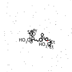 CCCN1C(=O)/C(=c2\sc(=CC=Cc3ccc4c(c3)C3CCCC3N4c3ccc(SC(C)(CC)CC(C)(CC)C(=O)O)cc3)c(=O)n2CC(=O)O)SC1=S